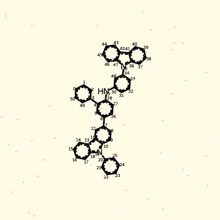 c1ccc(-c2cc(-c3ccc4c(c3)c3ccccc3n4-c3ccccc3)ccc2Nc2cccc(-n3c4ccccc4c4ccccc43)c2)cc1